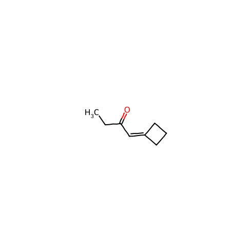 CCC(=O)C=C1CCC1